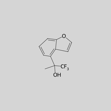 CC(O)(c1cccc2occc12)C(F)(F)F